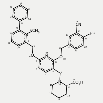 Cc1c(COc2ncc(CN3CCCC[C@H]3C(=O)O)c(OCc3ccc(F)c(C#N)c3)n2)cccc1-c1ccccc1